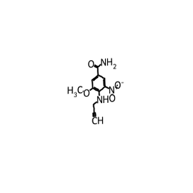 C#CCNc1c(OC)cc(C(N)=O)cc1[N+](=O)[O-]